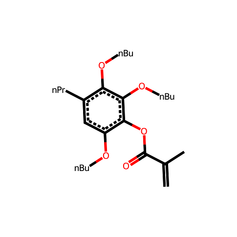 C=C(C)C(=O)Oc1c(OCCCC)cc(CCC)c(OCCCC)c1OCCCC